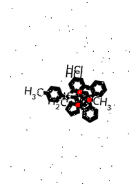 Cl.Cl.[CH2]=[Hf]([C]1=CC=CC1)([c]1ccc(C)cc1)([c]1ccc(C)cc1)[c]1cccc2c1c1c(c3ccccc32)-c2ccccc2C1